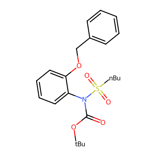 CCCCS(=O)(=O)N(C(=O)OC(C)(C)C)c1ccccc1OCc1ccccc1